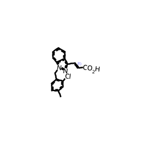 Cc1ccc(Cn2nc(/C=C/C(=O)O)c3ccccc32)c(Cl)c1